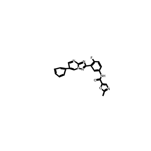 Cc1ncc(C(=O)Nc2ccc(F)c(-c3nc4ncc(-c5ccccc5)cn4n3)c2)o1